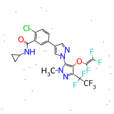 Cn1nc(C(F)(F)C(F)(F)F)c(OC(F)=C(F)F)c1-n1cc(-c2ccc(Cl)c(C(=O)NC3CC3)c2)cn1